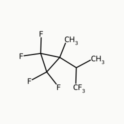 CC(C(F)(F)F)C1(C)C(F)(F)C1(F)F